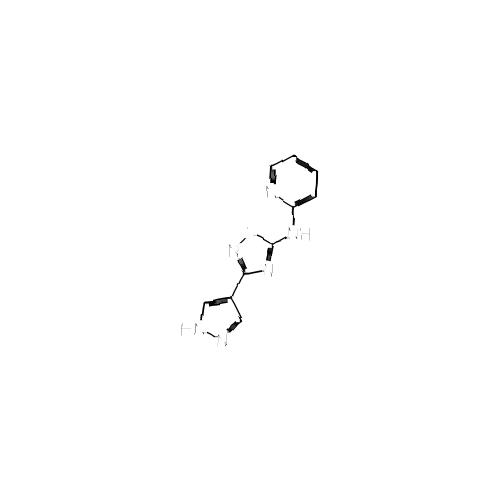 c1ccc(Nc2nc(-c3cn[nH]c3)ns2)nc1